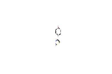 Oc1ccc(-c2csc(Br)n2)cc1